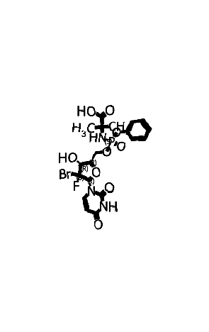 CC(C)(N[P@](=O)(OC[C@H]1O[C@@H](n2ccc(=O)[nH]c2=O)[C@@](F)(Br)[C@@H]1O)Oc1ccccc1)C(=O)O